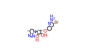 Cc1ccn([C@@H]2C[C@H](COc3ccc4cc(Br)c(N)nc4c3)[C@@H](O)[C@H]2O)c2ncnc1-2